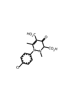 CC1=C(C(=O)O)C(=O)C(C(=O)O)N(C)N1c1ccc(Cl)cc1